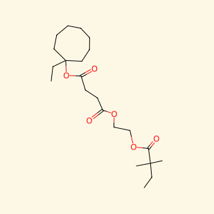 CCC1(OC(=O)CCC(=O)OCCOC(=O)C(C)(C)CC)CCCCCCC1